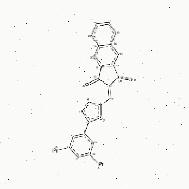 CC(C)c1cc(-c2ccc(C=C3C(=O)c4cc5ccccc5cc4C3=O)s2)cc(C(C)C)c1